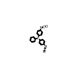 O=C=Nc1ccc(P(c2ccccc2)c2ccc(N=C=O)cc2)cc1